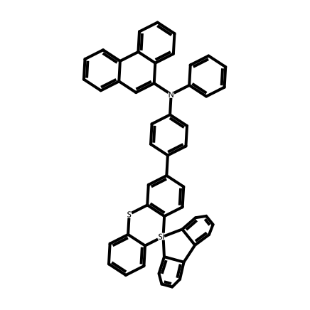 c1ccc(N(c2ccc(-c3ccc4c(c3)Sc3ccccc3[Si]43c4ccccc4-c4ccccc43)cc2)c2cc3ccccc3c3ccccc23)cc1